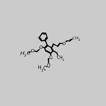 C=CCOCCCc1c(CC)c(OCOC)cc(OCOC)c1-c1ccccc1